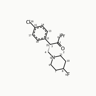 CC(C)C(=O)[C@H](CN1CCC(F)CC1)c1ccc(Cl)cc1